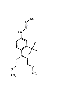 COCCN(CCOC)c1ccc(N/C=N/O)cc1C(F)(F)F